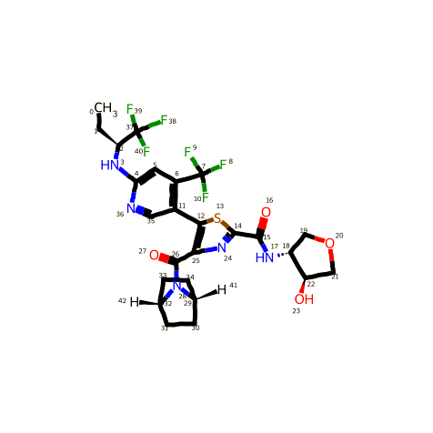 CC[C@H](Nc1cc(C(F)(F)F)c(-c2sc(C(=O)N[C@@H]3COC[C@H]3O)nc2C(=O)N2[C@H]3CC[C@@H]2CC3)cn1)C(F)(F)F